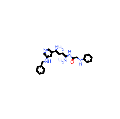 N/C(=C\C=C(/N)NC(=O)CNc1ccccc1)c1cncc(NCc2ccccc2)c1